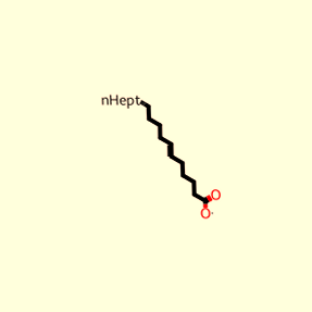 CCCCCCCCCCC/C=C/CCCCC([O])=O